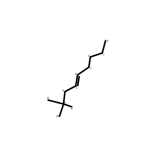 [CH2]CCCC=CCC(C)(C)C